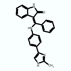 Cc1nc(-c2ccc(NC(=C3C(=O)Nc4ccccc43)c3ccccc3)cc2)c[nH]1